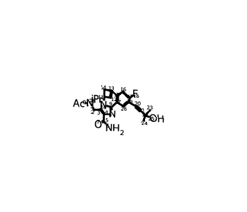 CC(=O)N(Cc1c(C(N)=O)nc2n1C1C=C(C1)c1cc(F)c(C#CC(C)(C)O)cc1-2)C(C)C